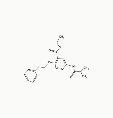 CCOC(=O)c1cc(NC(=O)N(C)C)ccc1OCCc1ccccc1